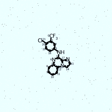 FC(F)(F)c1cc(Nc2nc3ccccc3n3ccnc23)ccc1Cl